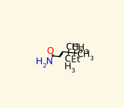 CCC(C)(C)C(C)(C)C=CC(N)=O